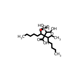 CCCCCC(CC)C(C(=O)O)(C(CC)CCCCC)C(C(=O)O)S(=O)(=O)O